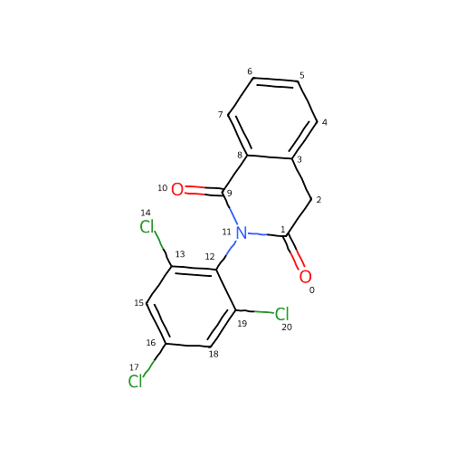 O=C1Cc2ccccc2C(=O)N1c1c(Cl)cc(Cl)cc1Cl